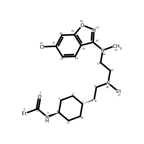 CCC(=O)N[C@H]1CC[C@H](CCN(CC)CCN(C)c2noc3cc(Cl)ccc23)CC1